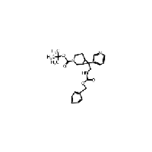 CC(C)(C)OC(=O)N1CCC2C(C1)C2(CNC(=O)OCc1ccccc1)c1cccnc1